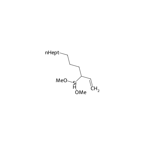 C=CC(CCCCCCCCCC)[SiH](OC)OC